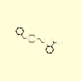 NC(=O)c1ccccc1NCCN1CCN(Cc2ccccc2)CC1